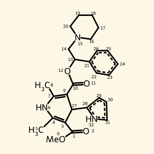 COC(=O)C1=C(C)NC(C)=C(C(=O)OC(CN2CCCCC2)c2ccccc2)C1c1ccc[nH]1